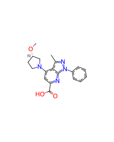 CO[C@H]1CCN(c2cc(C(=O)O)nc3c2c(C)nn3-c2ccccc2)C1